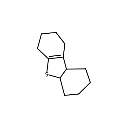 C1CCC2=C(C1)SC1CCCCC21